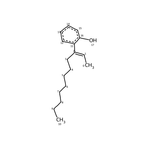 CC=C(CCCCCCCC)c1ccccc1O